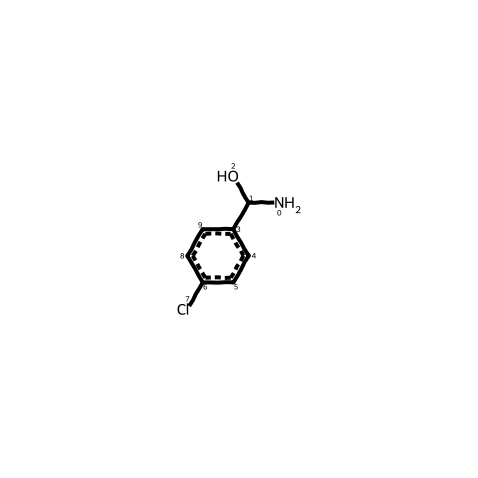 NC(O)c1ccc(Cl)cc1